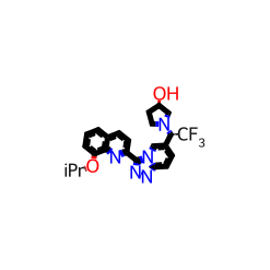 CC(C)Oc1cccc2ccc(-c3nnc4ccc([C@H](N5CC[C@@H](O)C5)C(F)(F)F)cn34)nc12